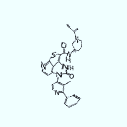 C=CC(=C)N1CCC[C@@H](NC(=O)c2sc3nccc4c3c2NC(=O)N4c2ccnc(-c3ccccc3)c2C)C1